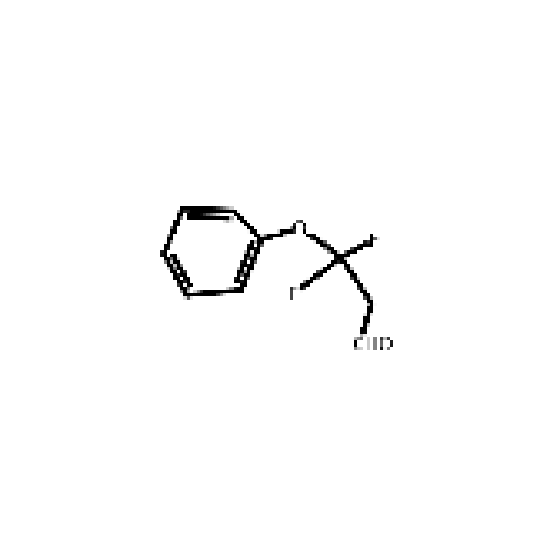 O=[C]CC(F)(F)Oc1ccccc1